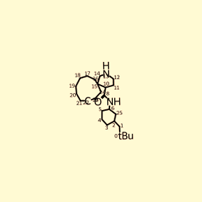 CC(C)(C)CC1CCCC(NC(=O)C2CCNCC23CCCCCCCCC3)C1